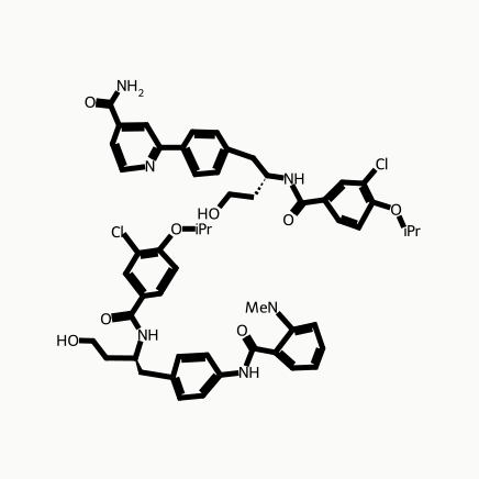 CC(C)Oc1ccc(C(=O)N[C@H](CCO)Cc2ccc(-c3cc(C(N)=O)ccn3)cc2)cc1Cl.CNc1ccccc1C(=O)Nc1ccc(C[C@@H](CCO)NC(=O)c2ccc(OC(C)C)c(Cl)c2)cc1